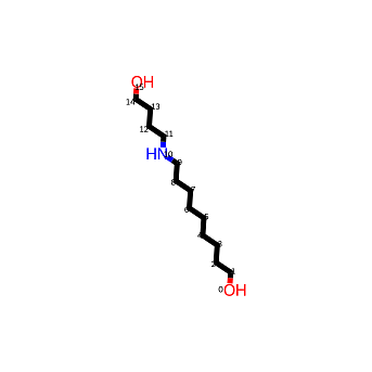 OCCCCCCCCCNCCCCO